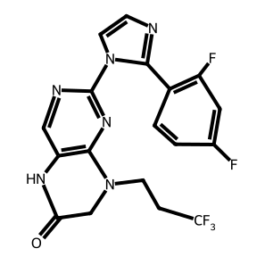 O=C1CN(CCC(F)(F)F)c2nc(-n3ccnc3-c3ccc(F)cc3F)ncc2N1